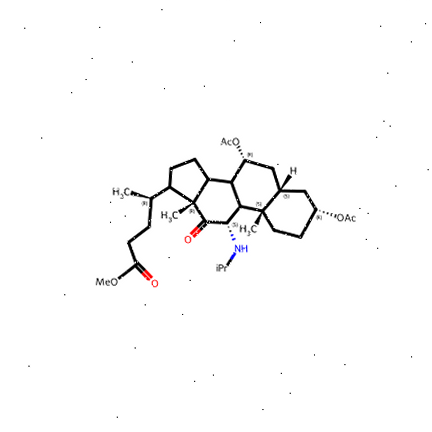 COC(=O)CC[C@@H](C)C1CCC2C3C([C@H](NC(C)C)C(=O)[C@@]21C)[C@@]1(C)CC[C@@H](OC(C)=O)C[C@H]1C[C@H]3OC(C)=O